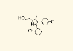 Cc1c(CCO)nn(-c2ccccc2Cl)c1-c1ccc(Cl)cc1